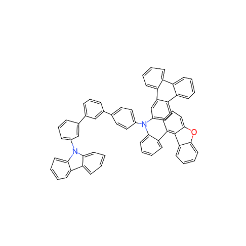 c1cc(-c2ccc(N(c3ccc4c5ccccc5c5ccccc5c4c3)c3ccccc3-c3cccc4oc5ccccc5c34)cc2)cc(-c2cccc(-n3c4ccccc4c4ccccc43)c2)c1